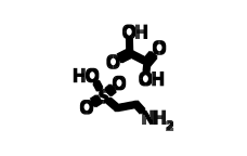 NCCS(=O)(=O)O.O=C(O)C(=O)O